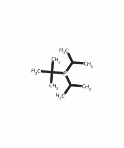 CC(C)P(C(C)C)C(C)(C)C